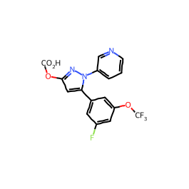 O=C(O)Oc1cc(-c2cc(F)cc(OC(F)(F)F)c2)n(-c2cccnc2)n1